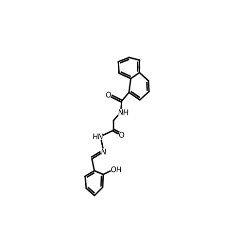 O=C(CNC(=O)c1cccc2ccccc12)NN=Cc1ccccc1O